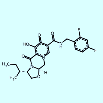 CCC(C)[C@H]1CO[C@@H]2Cn3cc(C(=O)NCc4ccc(F)cc4F)c(=O)c(O)c3C(=O)N12